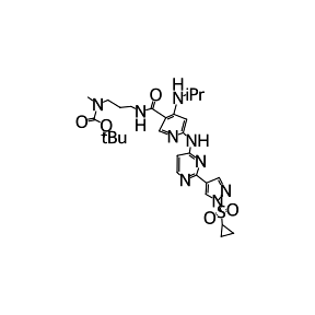 CC(C)Nc1cc(Nc2ccnc(-c3cnn(S(=O)(=O)C4CC4)c3)n2)ncc1C(=O)NCCCN(C)C(=O)OC(C)(C)C